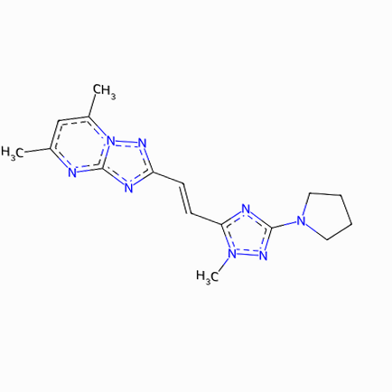 Cc1cc(C)n2nc(C=Cc3nc(N4CCCC4)nn3C)nc2n1